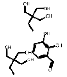 CCC(CO)(CO)CO.CCC(CO)(CO)CO.O=Cc1cccc(O)c1O